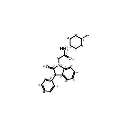 C[C@H]1CC[C@H](NC(=O)CN2C(=O)C(c3ccccc3)c3ccccc32)CC1